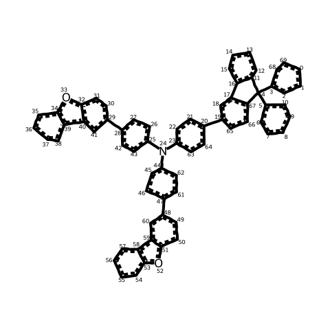 c1ccc(C2(c3ccccc3)c3ccccc3-c3cc(-c4ccc(N(c5ccc(-c6ccc7oc8ccccc8c7c6)cc5)c5ccc(-c6ccc7oc8ccccc8c7c6)cc5)cc4)ccc32)cc1